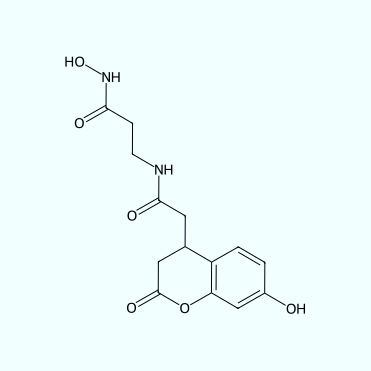 O=C(CCNC(=O)CC1CC(=O)Oc2cc(O)ccc21)NO